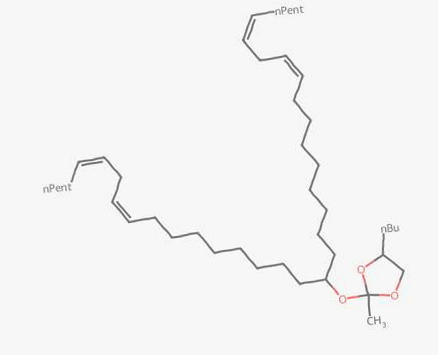 CCCCC/C=C\C/C=C\CCCCCCCCC(CCCCCCCC/C=C\C/C=C\CCCCC)OC1(C)OCC(CCCC)O1